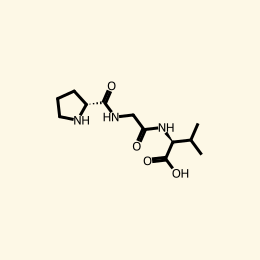 CC(C)[C@H](NC(=O)CNC(=O)[C@H]1CCCN1)C(=O)O